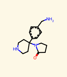 NCc1ccc(C2(N3CCCC3=O)CCNCC2)cc1